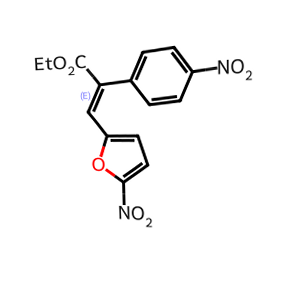 CCOC(=O)/C(=C/c1ccc([N+](=O)[O-])o1)c1ccc([N+](=O)[O-])cc1